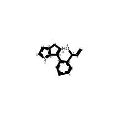 C=CC(O)c1ccccc1C1=CCc2ccsc21